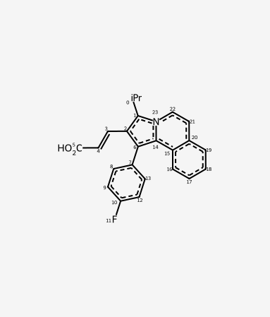 CC(C)c1c(/C=C/C(=O)O)c(-c2ccc(F)cc2)c2c3ccccc3ccn12